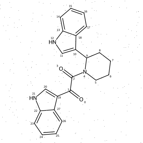 O=C(C(=O)N1CCCCC1c1c[nH]c2ccccc12)c1c[nH]c2ccccc12